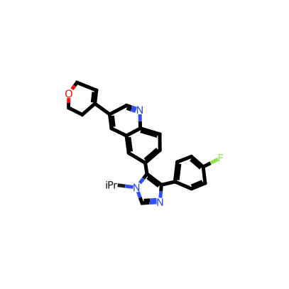 CC(C)n1cnc(-c2ccc(F)cc2)c1-c1ccc2ncc(C3=CCOCC3)cc2c1